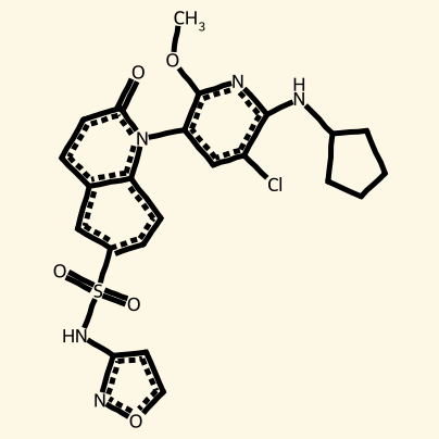 COc1nc(NC2CCCC2)c(Cl)cc1-n1c(=O)ccc2cc(S(=O)(=O)Nc3ccon3)ccc21